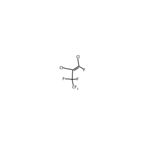 F/C(Cl)=C(/Cl)C(F)(F)C(F)(F)F